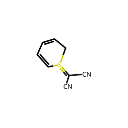 N#CC(C#N)=S1C=CC=CC1